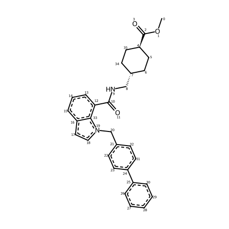 COC(=O)[C@H]1CC[C@H](CNC(=O)c2cccc3ccn(Cc4ccc(-c5ccccc5)cc4)c23)CC1